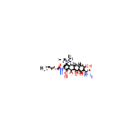 C=CCCOC(=O)Nc1cc(N(C)C)c2c(c1O)C(=O)C1=C(O)[C@]3(O)C(=O)C(C(N)=O)=C(O)C[C@@H]3C[C@@H]1C2